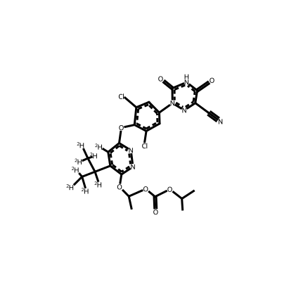 [2H]c1c(Oc2c(Cl)cc(-n3nc(C#N)c(=O)[nH]c3=O)cc2Cl)nnc(OC(C)OC(=O)OC(C)C)c1C([2H])(C([2H])([2H])[2H])C([2H])([2H])[2H]